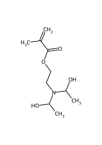 C=C(C)C(=O)OCCN(C(C)O)C(C)O